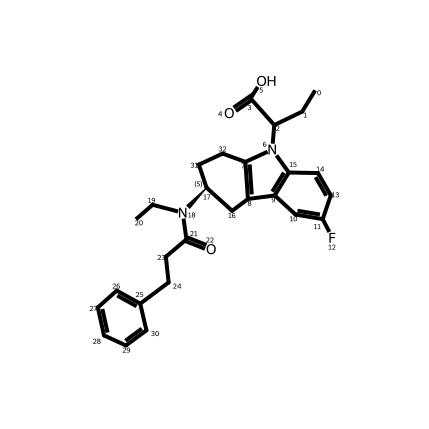 CCC(C(=O)O)n1c2c(c3cc(F)ccc31)C[C@@H](N(CC)C(=O)CCc1ccccc1)CC2